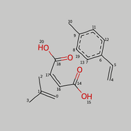 C=C(C)C.C=Cc1ccc(C)cc1.O=C(O)/C=C\C(=O)O